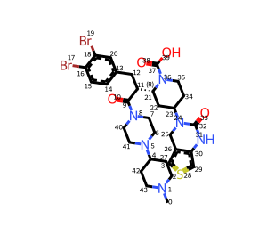 CN1CCC(N2CCN(C(=O)C(Cc3ccc(Br)c(Br)c3)[C@H]3CC(N4Cc5cscc5NC4=O)CCN3C(=O)O)CC2)CC1